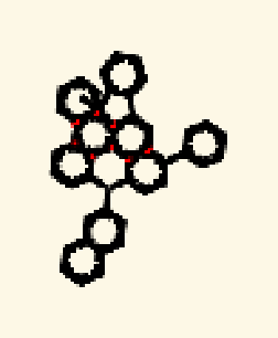 CC1(C)c2ccccc2-c2cccc(-c3c(-c4ccccc4)cccc3N(c3ccc4ccccc4c3)c3ccc(-c4ccccc4)cc3-c3ccccc3)c21